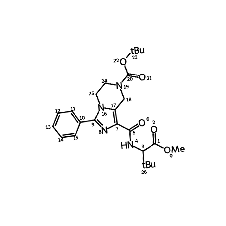 COC(=O)C(NC(=O)c1nc(-c2ccccc2)n2c1CN(C(=O)OC(C)(C)C)CC2)C(C)(C)C